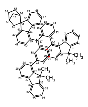 CC1(C)c2ccccc2-c2c(-c3ccccc3N(c3cccc(-c4cccc5c4C(C)(C)c4ccccc4-5)c3)c3cccc4c3-c3ccccc3C43CC4CCC3C4)cccc21